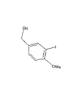 COc1ccc(CO)cc1I